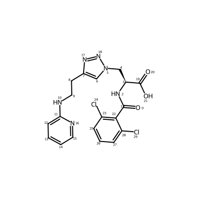 O=C(N[C@@H](Cn1cc(CCNc2ccccn2)nn1)C(=O)O)c1c(Cl)cccc1Cl